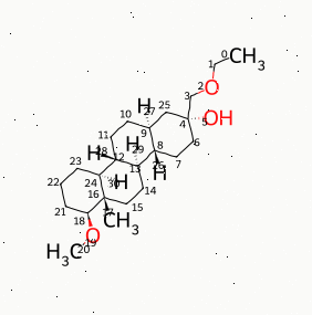 CCOC[C@@]1(O)CC[C@H]2[C@@H](CC[C@@H]3[C@@H]2CC[C@]2(C)[C@@H](OC)CCC[C@@H]32)C1